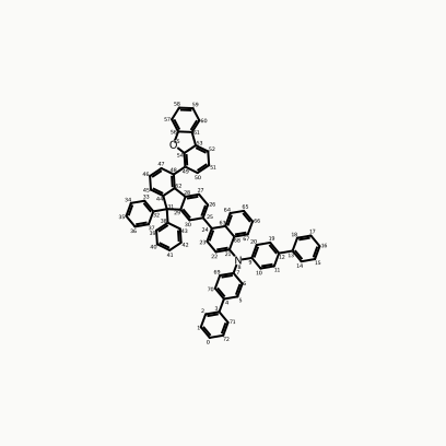 c1ccc(-c2ccc(N(c3ccc(-c4ccccc4)cc3)c3ccc(-c4ccc5c(c4)C(c4ccccc4)(c4ccccc4)c4cccc(-c6cccc7c6oc6ccccc67)c4-5)c4ccccc34)cc2)cc1